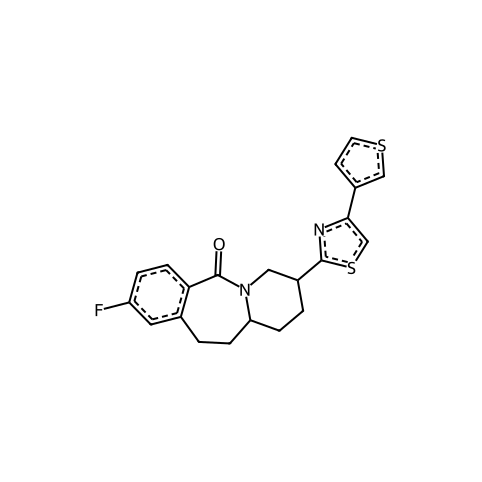 O=C1c2ccc(F)cc2CCC2CCC(c3nc(-c4ccsc4)cs3)CN12